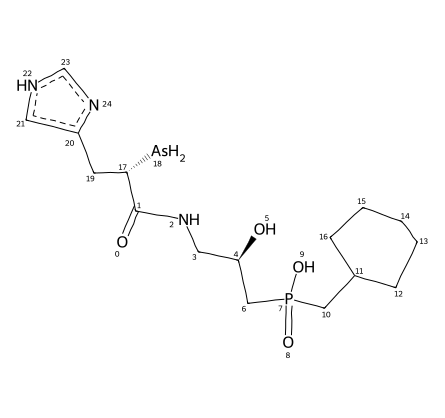 O=C(NC[C@@H](O)CP(=O)(O)CC1CCCCC1)[C@@H]([AsH2])Cc1c[nH]cn1